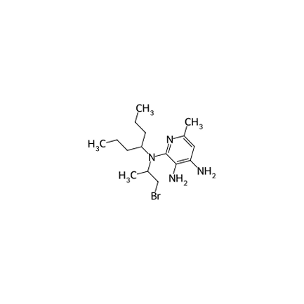 CCCC(CCC)N(c1nc(C)cc(N)c1N)C(C)CBr